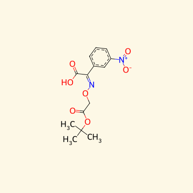 CC(C)(C)OC(=O)CON=C(C(=O)O)c1cccc([N+](=O)[O-])c1